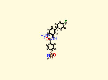 C/N=[SH](=O)/c1ccc(C(=O)Nc2cc(-c3ccc(F)cc3)ccc2N)cc1